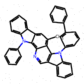 Cc1cc2c3ccccc3n(-c3ccccc3)c2c2ncc3c4ccccc4n(-c4cccc(-c5ccccc5)c4)c3c12